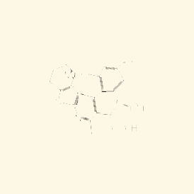 CCc1ccc(-c2c([C@H](OC(C)(C)C)C(=O)O)c(C)nc3sc4c(c23)CCCC4)c(OC)c1